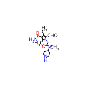 Cc1c(C(N)=O)c(C)n(CC(=O)N(C)C2CCNCC2)c1C=O